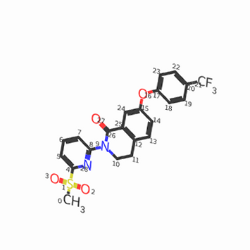 CS(=O)(=O)c1cccc(N2CCc3ccc(Oc4ccc(C(F)(F)F)cc4)cc3C2=O)n1